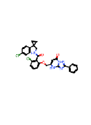 O=C(NCC1(c2ccc(Cl)cc2)CC1)c1c(Cl)cccc1OCc1cc(=O)n2nc(-c3ccccc3)nc2[nH]1